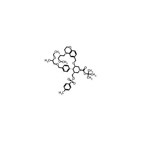 CCO[C@H](C)COCc1ccc([C@H]2[C@H](COS(=O)(=O)c3ccc(C)cc3)CN(C(=O)OC(C)(C)C)C[C@@H]2OCc2ccc3c(c2)N(CCCOC)CCO3)cc1